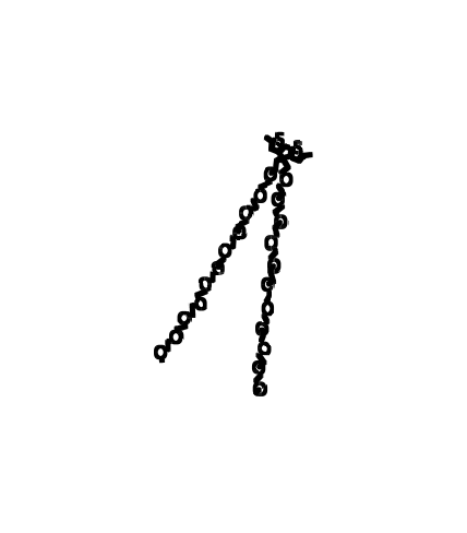 COCCOCCOCCOCCOCCOCCOCCOCCOCCOCCOCCC1(CCOCCOCCOCCOCCOCCOCCOCCOCCOCCOCCOC)c2cc(C)sc2-c2sc(C)cc21